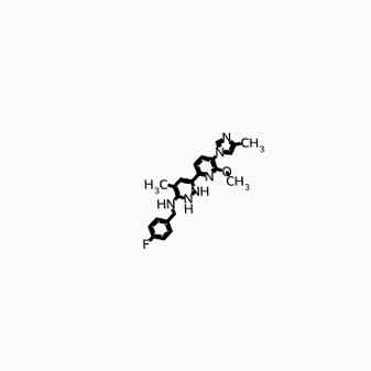 COc1nc(C2=CC(C)=C(NCc3ccc(F)cc3)NN2)ccc1-n1cnc(C)c1